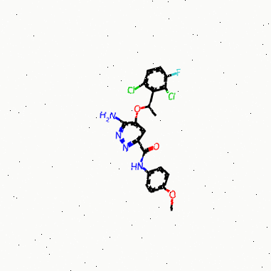 COc1ccc(NC(=O)c2cc(OC(C)c3c(Cl)ccc(F)c3Cl)c(N)nn2)cc1